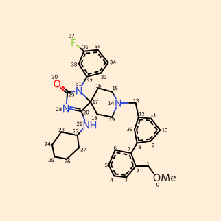 COCc1ccccc1-c1cccc(CN2CCC3(CC2)C(NC2CCCCC2)=NC(=O)N3c2cccc(F)c2)c1